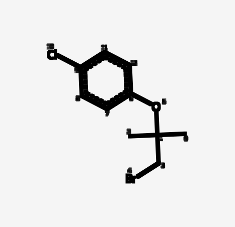 CC(C)(CBr)Oc1ccc(Cl)cc1